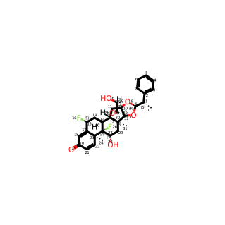 C[C@@H](c1ccccc1)[C@@H]1O[C@@H]2C[C@H]3[C@@H]4C[C@H](F)C5=CC(=O)C=C[C@]5(C)[C@@]4(F)[C@@H](O)C[C@]3(C)[C@]2(C(=O)CO)O1